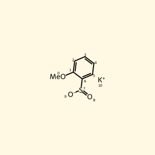 COc1ccccc1S(=O)[O-].[K+]